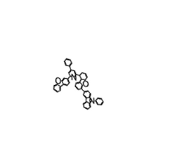 C1=CC2Oc3c(-c4ccc5c(c4)c4ccccc4n5-c4ccccc4)cccc3C2C(c2cc(-c3ccccc3)cc(-c3ccc4c(c3)oc3ccccc34)n2)C1